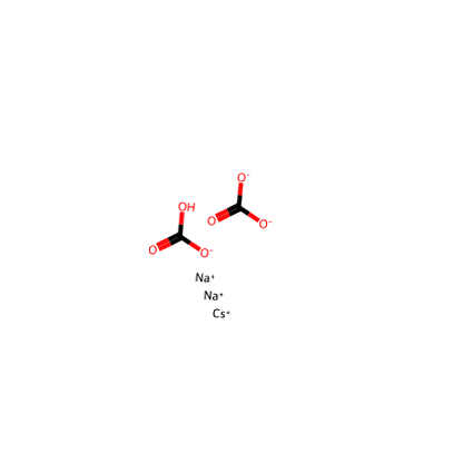 O=C([O-])O.O=C([O-])[O-].[Cs+].[Na+].[Na+]